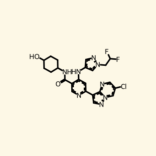 O=C(NC1CCC(O)CC1)c1cnc(-c2cnn3cc(Cl)cnc23)cc1Nc1cnn(CC(F)F)c1